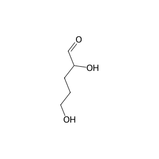 O=CC(O)CCCO